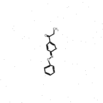 CCC(=O)C1=CCC(=NOc2ccccc2)C=C1